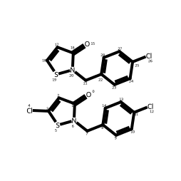 O=c1cc(Cl)sn1Cc1ccc(Cl)cc1.O=c1ccsn1Cc1ccc(Cl)cc1